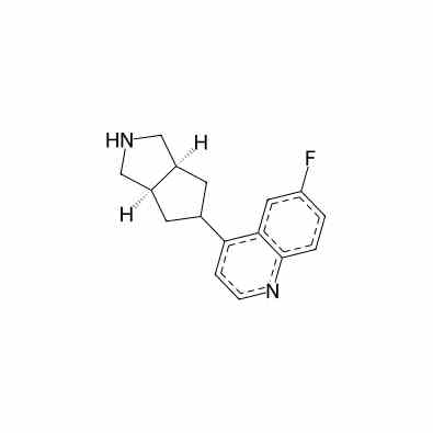 Fc1ccc2nccc(C3C[C@H]4CNC[C@H]4C3)c2c1